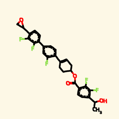 CC(O)c1ccc(C(=O)OC2CC=C(c3ccc(-c4ccc(C5CO5)c(F)c4F)cc3F)CC2)c(F)c1F